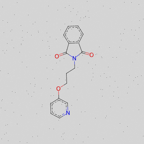 O=C1c2ccccc2C(=O)N1CCCOc1cccnc1